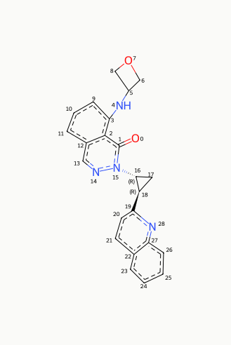 O=c1c2c(NC3COC3)cccc2cnn1[C@@H]1C[C@H]1c1ccc2ccccc2n1